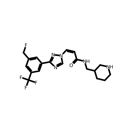 O=C(/C=C\n1cnc(-c2cc(CF)cc(C(F)(F)F)c2)n1)NCC1CCCNC1